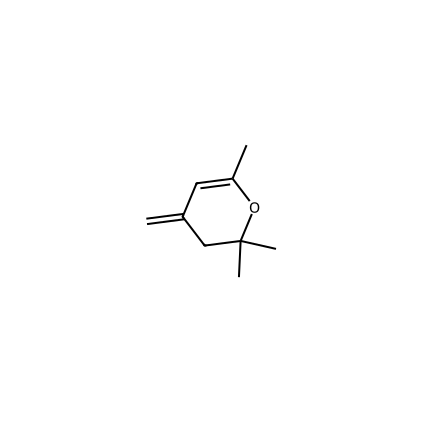 C=C1C=C(C)OC(C)(C)C1